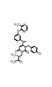 Cc1nccnc1Oc1cccc(Nc2cc(=O)n(C[C@H](C)C(N)=O)c(=O)n2Cc2ccc(Cl)cc2)c1